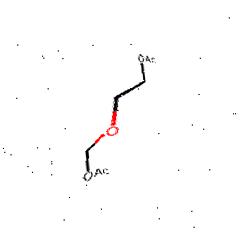 CC(=O)OCCOCOC(C)=O